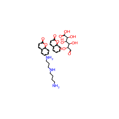 NCCCCNCCCN.O=CC(O)C(O)C(O)C(O)C(=O)O.O=c1ccc2ccccc2o1.O=c1ccc2ccccc2o1